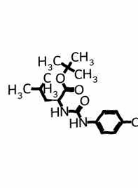 CC(C)C[C@H](NC(=O)Nc1ccc(Cl)cc1)C(=O)OC(C)(C)C